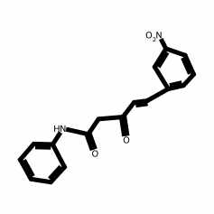 O=C(C=Cc1cccc([N+](=O)[O-])c1)CC(=O)Nc1ccccc1